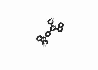 c1cncc(-c2cc(-c3ccc(-n4c5ccccc5c5cnccc54)cc3)cc(-c3cccc4ccccc34)n2)c1